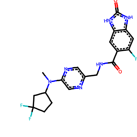 CN(c1cnc(CNC(=O)c2cc3[nH]c(=O)[nH]c3cc2F)cn1)C1CCC(F)(F)C1